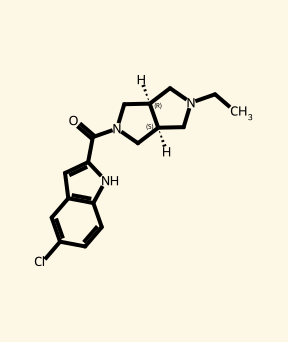 CCN1C[C@@H]2CN(C(=O)c3cc4cc(Cl)ccc4[nH]3)C[C@@H]2C1